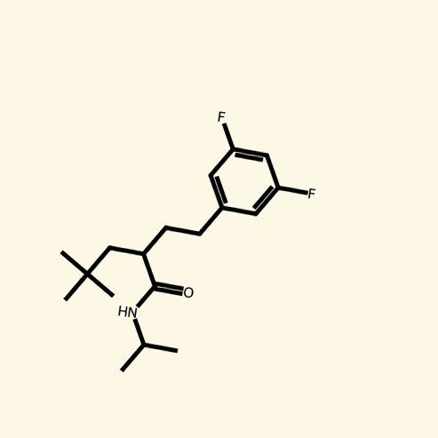 CC(C)NC(=O)C(CCc1cc(F)cc(F)c1)CC(C)(C)C